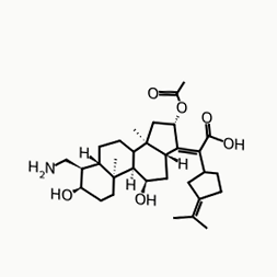 CC(=O)O[C@H]1C[C@]2(C)C3CC[C@H]4[C@H](CN)[C@H](O)CC[C@]4(C)[C@@H]3[C@H](O)C[C@H]2/C1=C(/C(=O)O)C1CCC(=C(C)C)C1